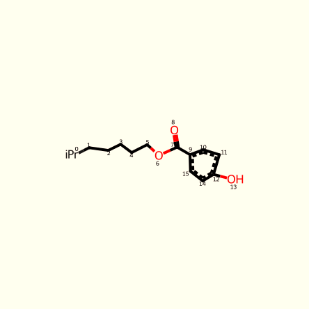 CC(C)CCCCCOC(=O)c1ccc(O)cc1